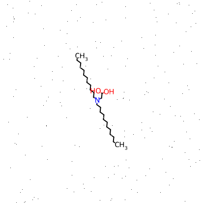 CCCCCCCCCCCCN(CCCCCCCCCCCC)CC(O)O